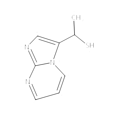 CC(S)c1cnc2ncccn12